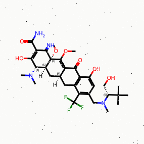 COC1=C2C(=O)c3c(O)cc(CN(C)[C@H](CO)C(C)(C)C)c(C(F)(F)F)c3C[C@H]2C[C@H]2[C@H](N(C)C)C(O)=C(C(N)=O)C(=N)[C@@]12OC